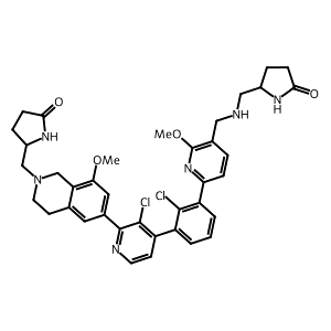 COc1cc(-c2nccc(-c3cccc(-c4ccc(CNCC5CCC(=O)N5)c(OC)n4)c3Cl)c2Cl)cc2c1CN(CC1CCC(=O)N1)CC2